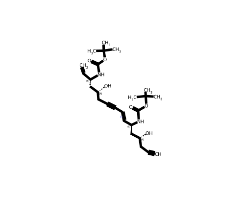 C#CC[C@@H](O)C[C@@H](/C=C/C#CC[C@@H](O)C[C@H](C=C)NC(=O)OC(C)(C)C)NC(=O)OC(C)(C)C